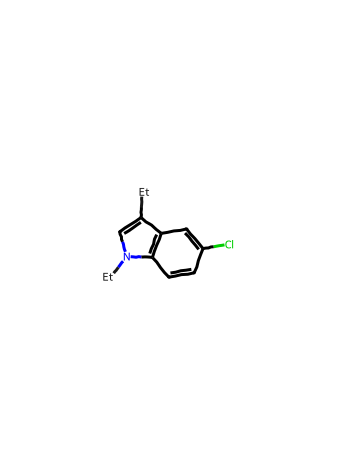 CCc1cn(CC)c2ccc(Cl)cc12